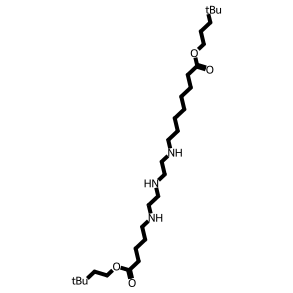 CC(C)(C)CCCOC(=O)CCCCCCCNCCNCCNCCCCC(=O)OCCC(C)(C)C